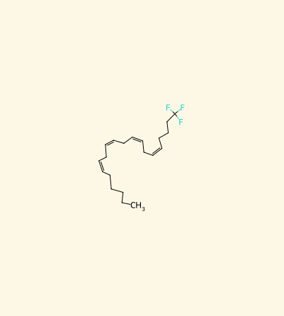 CCCCC/C=C\C/C=C\C/C=C\C/C=C\CCCC(F)(F)F